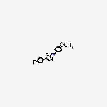 COc1ccc(/C=C/c2ncc(-c3ccc(F)cc3)s2)cc1